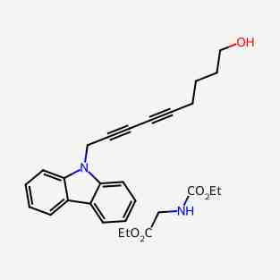 CCOC(=O)CNC(=O)OCC.OCCCCC#CC#CCn1c2ccccc2c2ccccc21